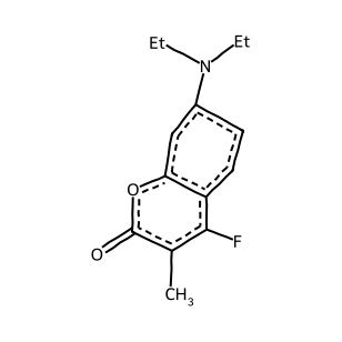 CCN(CC)c1ccc2c(F)c(C)c(=O)oc2c1